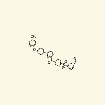 C/N=C\c1cccc(S(=O)(=O)N2CCN(C(=O)c3cccc(-c4ccc(Oc5ccc(C(F)(F)F)cn5)cc4)n3)CC2)c1